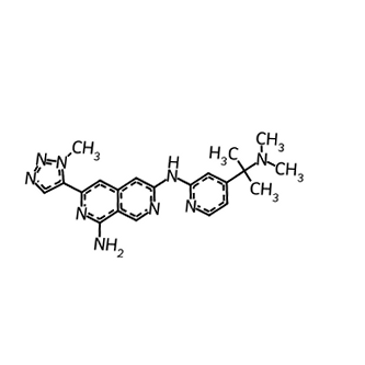 CN(C)C(C)(C)c1ccnc(Nc2cc3cc(-c4cnnn4C)nc(N)c3cn2)c1